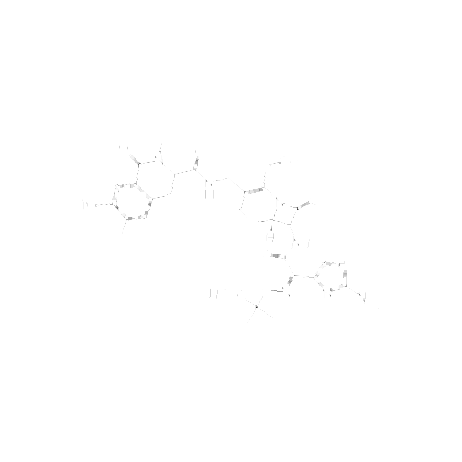 CN1C(=O)c2cc(O)c(O)cc2CC1C(=O)NCC1=C(OC(=O)O)N2C(=O)C(NC(=O)/C(=N\OC(C)(C)C(=O)O)c3csc(N)n3)[C@@H]2SC1